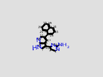 Nc1nccc(-c2c[nH]c3ncc(-c4cccc5ccccc45)cc23)n1